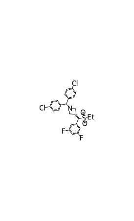 CCS(=O)(=O)C(=C1CN(C(c2ccc(Cl)cc2)c2ccc(Cl)cc2)C1)c1cc(F)cc(F)c1